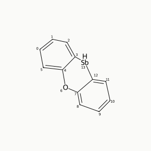 c1cc[c]2c(c1)Oc1cccc[c]1[SbH]2